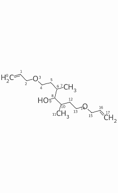 C=CCOCCC(C)C(O)C(C)CCOCC=C